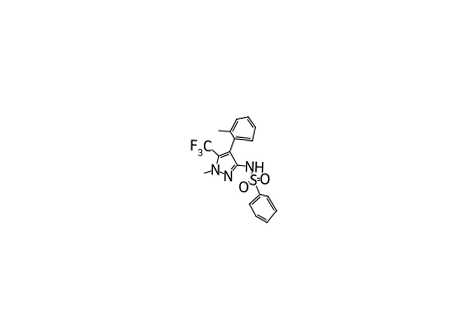 Cc1ccccc1-c1c(NS(=O)(=O)c2ccccc2)nn(C)c1C(F)(F)F